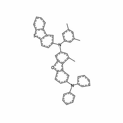 Cc1cc(C)cc(N(c2cc(C)c3c(c2)oc2ccc(N(c4ccccc4)c4ccccc4)cc23)c2ccc3sc4ccccc4c3c2)c1